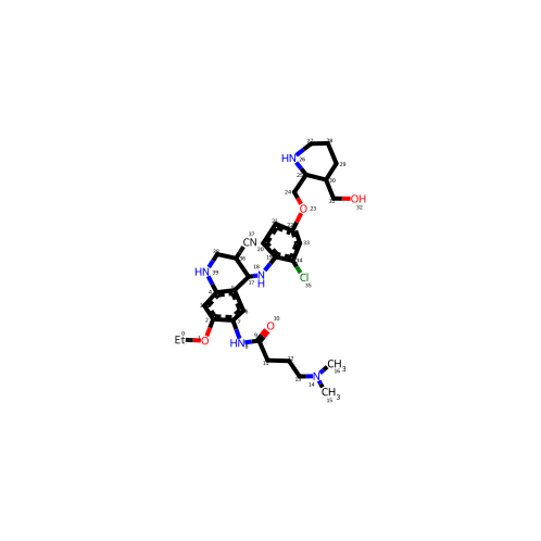 CCOc1cc2c(cc1NC(=O)CCCN(C)C)C(Nc1ccc(OCC3NCCCC3CO)cc1Cl)C(C#N)CN2